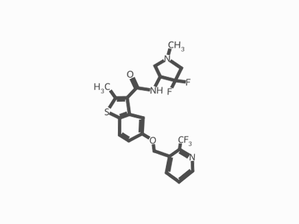 Cc1sc2ccc(OCc3cccnc3C(F)(F)F)cc2c1C(=O)NC1CN(C)CC1(F)F